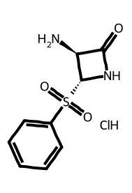 Cl.N[C@H]1C(=O)N[C@@H]1S(=O)(=O)c1ccccc1